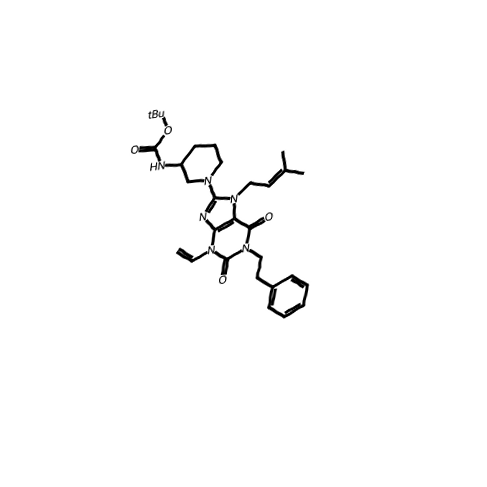 C=Cn1c(=O)n(CCc2ccccc2)c(=O)c2c1nc(N1CCCC(NC(=O)OC(C)(C)C)C1)n2CC=C(C)C